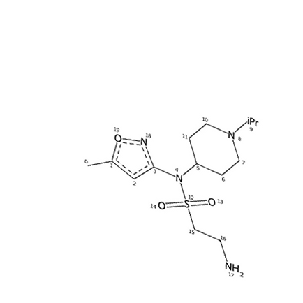 Cc1cc(N(C2CCN(C(C)C)CC2)S(=O)(=O)CCN)no1